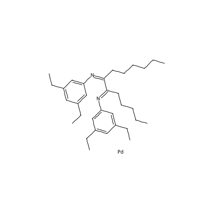 CCCCCCC(=Nc1cc(CC)cc(CC)c1)C(CCCCC)=Nc1cc(CC)cc(CC)c1.[Pd]